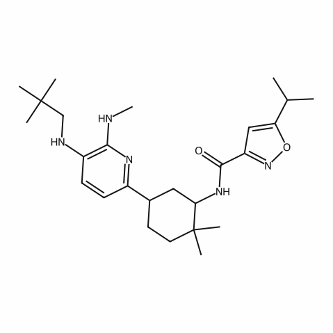 CNc1nc(C2CCC(C)(C)C(NC(=O)c3cc(C(C)C)on3)C2)ccc1NCC(C)(C)C